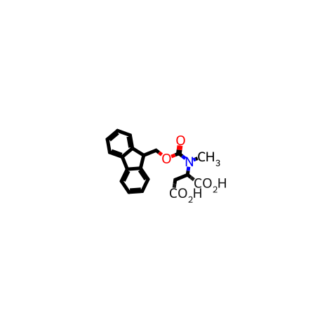 CN(C(=O)OCC1c2ccccc2-c2ccccc21)C(CC(=O)O)C(=O)O